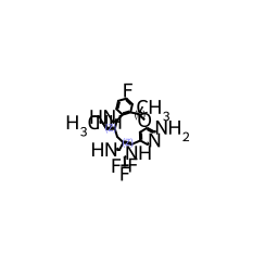 CN/C=C1/C/C(C=N)=C(/NCC(F)(F)F)c2cnc(N)c(c2)O[C@H](C)c2cc(F)ccc2C1=N